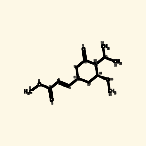 COC(=O)/C=C/N1CC(=O)N(C(C)C)[C@@H](OC)C1